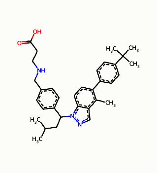 Cc1c(-c2ccc(C(C)(C)C)cc2)ccc2c1cnn2C(CC(C)C)c1ccc(CNCCC(=O)O)cc1